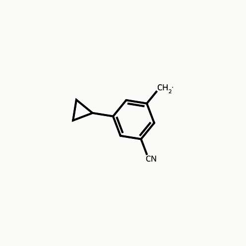 [CH2]c1cc(C#N)cc(C2CC2)c1